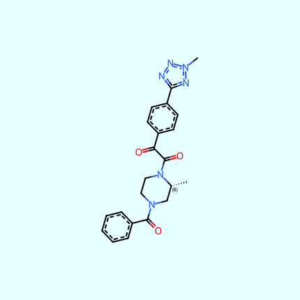 C[C@@H]1CN(C(=O)c2ccccc2)CCN1C(=O)C(=O)c1ccc(-c2nnn(C)n2)cc1